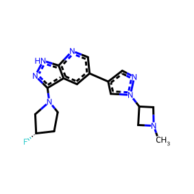 CN1CC(n2cc(-c3cnc4[nH]nc(N5CC[C@H](F)C5)c4c3)cn2)C1